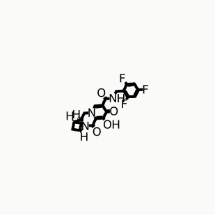 O=C(NCc1c(F)cc(F)cc1F)c1cn2c(c(O)c1=O)C(=O)N1[C@H]3C[C@@H](C3)[C@@H]1C2